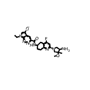 CCn1cc(Cl)c2cc(C(=O)NC3CCc4nc(N5CC(N)C(C)(OC)C5)cc(F)c4C3)nnc21